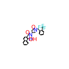 O=C(NC1CC(=O)N(Cc2ccccc2C(F)(F)F)C1)c1ccc2ccccc2c1O